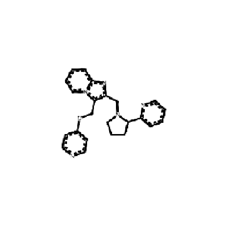 c1ccc(C2CCCN2Cc2nc3ccccn3c2COc2ccncc2)nc1